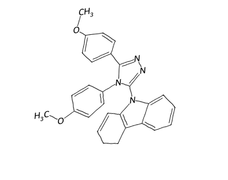 COc1ccc(-c2nnc(-n3c4c(c5ccccc53)CCC=C4)n2-c2ccc(OC)cc2)cc1